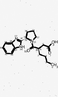 CCCC[C@H](CC(=O)O)C(=O)N1CCC[C@H]1c1nc2ccccc2[nH]1